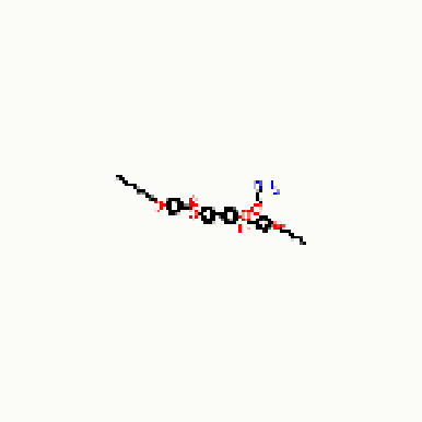 CCCCCCCCOc1ccc(C(=O)Oc2ccc(-c3ccc(OC(=O)c4ccc(OCCCCC)cc4OCCCN)cc3)cc2)cc1